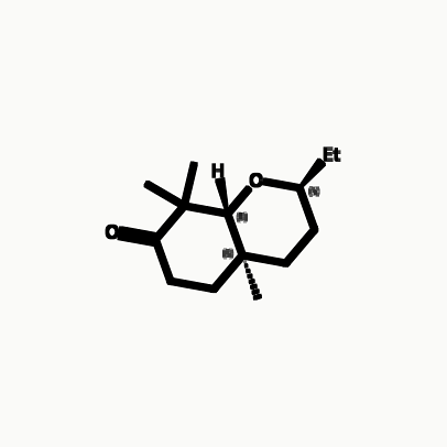 CC[C@H]1CC[C@@]2(C)CCC(=O)C(C)(C)[C@@H]2O1